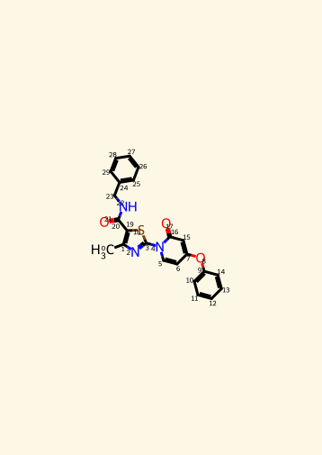 Cc1nc(-n2ccc(Oc3ccccc3)cc2=O)sc1C(=O)NCc1ccccc1